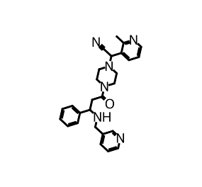 Cc1ncccc1C(C#N)N1CCN(C(=O)CC(NCc2cccnc2)c2ccccc2)CC1